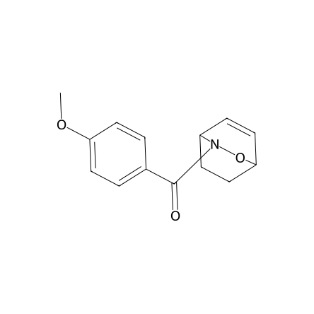 COc1ccc(C(=O)N2OC3C=CC2CC3)cc1